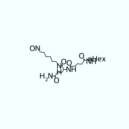 CCCCCCNC(=O)CCCC(=O)NC(CCC(N)=O)C(=O)NCCCCCCN=O